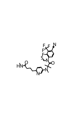 CNC(=O)CCCc1ccc(N(C)C(C)(C)C(=O)N(C=S)c2ccc(C#N)c(C(F)(F)F)c2F)cn1